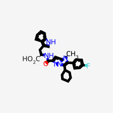 Cn1c(-c2ccc(F)cc2)c(C2CCCCC2)n2nc(C(=O)N[C@@H](Cc3c[nH]c4ccccc34)C(=O)O)cc12